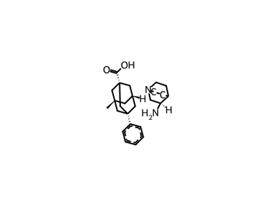 C[C@]12C[C@@H]3C[C@](C(=O)O)(C1)C[C@@](c1ccccc1)(C3)C2.N[C@H]1CN2CCC1CC2